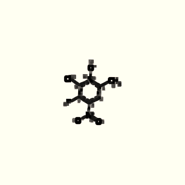 Cc1cc([N+](=O)[O-])c(F)c(Cl)[n+]1[O-]